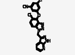 [C-]#[N+]c1cc(Cl)cc(Oc2c(Cl)ccc3c2nnn3Cc2n[nH]c3ncccc23)c1